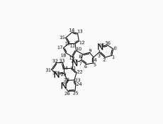 c1ccc(-c2ccc3c(c2)c2c4ccccc4ccc2n3-c2cc3cccnc3c3ncccc23)nc1